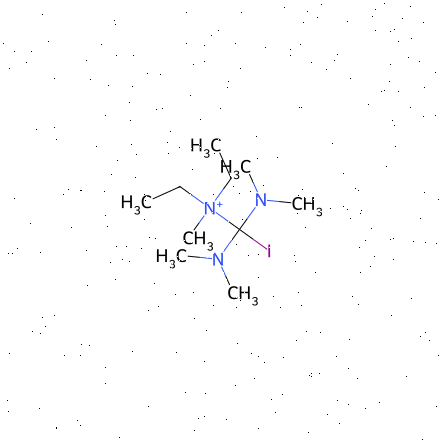 CC[N+](C)(CC)C(I)(N(C)C)N(C)C